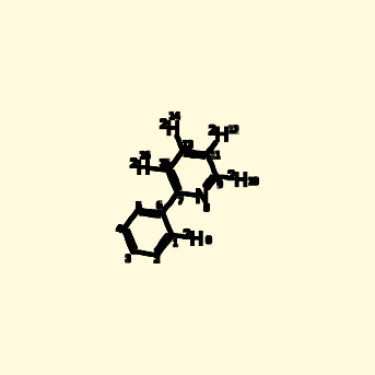 [2H]c1ccccc1-c1nc([2H])c([2H])c([2H])c1[2H]